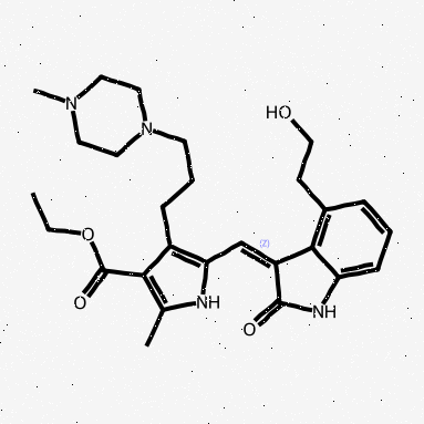 CCOC(=O)c1c(C)[nH]c(/C=C2\C(=O)Nc3cccc(CCO)c32)c1CCCN1CCN(C)CC1